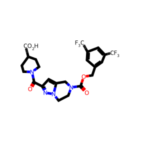 O=C(O)C1CCN(C(=O)c2cc3n(n2)CCN(C(=O)OCc2cc(C(F)(F)F)cc(C(F)(F)F)c2)C3)CC1